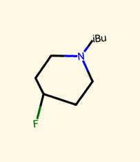 CCC(C)N1CCC(F)CC1